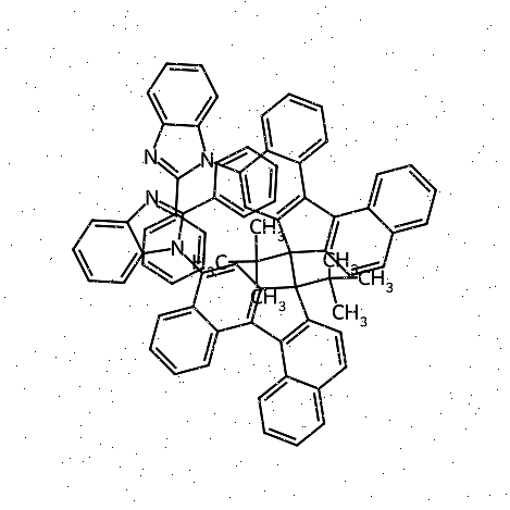 CC(C)(C)C1(C2(C(C)(C)C)c3ccc4ccccc4c3-c3c2cc(-n2c(-c4ccccc4)nc4ccccc42)c2ccccc32)c2ccc3ccccc3c2-c2c1cc(-n1c(-c3ccccc3)nc3ccccc31)c1ccccc21